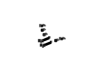 CF.CF.[Fe+3].[Fe+3].[O-2].[O-2].[O-2]